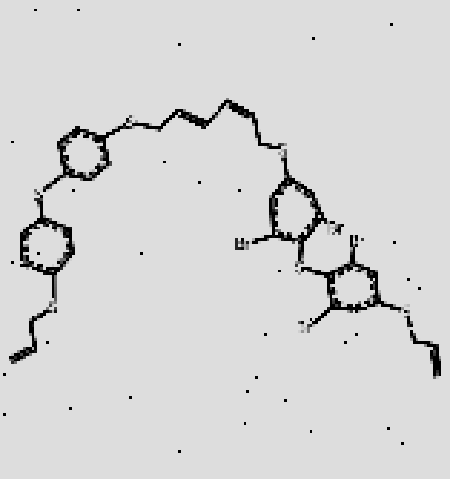 C=CCSc1ccc(Sc2ccc(SC/C=C/C=C\CSc3cc(Br)c(Sc4c(Br)cc(SCC=C)cc4Br)c(Br)c3)cc2)cc1